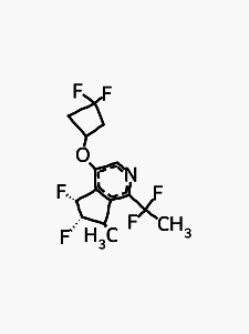 C[C@H]1c2c(C(C)(F)F)ncc(OC3CC(F)(F)C3)c2[C@@H](F)[C@H]1F